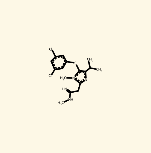 CNC(=N)Cc1nc(C(C)C)c(Sc2cc(Cl)cc(Cl)c2)n1C